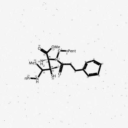 CCCCCON(C(=O)CCc1ccccc1)[C@](N)(C(=O)OC)[C@](C)(S)C(NCCC)SC